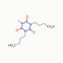 Cn1c(=O)n(CCCC(=O)O)c(=O)n(CCCC(=O)O)c1=O